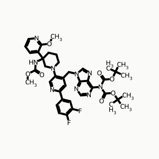 COC(=O)NC1(c2cccnc2OC)CCCN(c2cnc(-c3ccc(F)c(F)c3)cc2Cn2cnc3c(N(C(=O)OC(C)(C)C)C(=O)OC(C)(C)C)ncnc32)C1